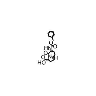 O=C(N[C@@H]1CC[C@H]2CC[C@@H](C(=O)O)N2C1=O)OCc1ccccc1